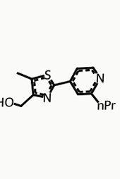 CCCc1cc(-c2nc(CO)c(C)s2)ccn1